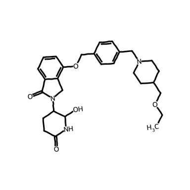 CCOCC1CCN(Cc2ccc(COc3cccc4c3CN(C3CCC(=O)NC3O)C4=O)cc2)CC1